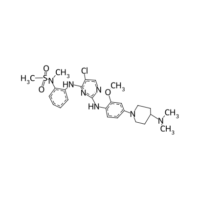 COc1cc(N2CCC(N(C)C)CC2)ccc1Nc1ncc(Cl)c(Nc2ccccc2N(C)S(C)(=O)=O)n1